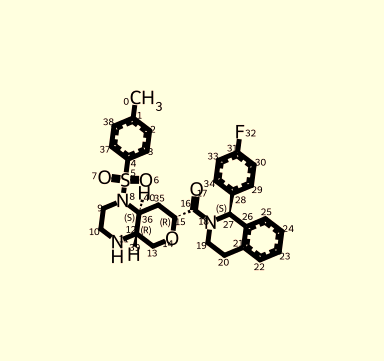 Cc1ccc(S(=O)(=O)N2CCN[C@H]3CO[C@@H](C(=O)N4CCc5ccccc5[C@@H]4c4ccc(F)cc4)C[C@@H]32)cc1